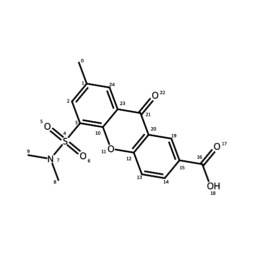 Cc1cc(S(=O)(=O)N(C)C)c2oc3ccc(C(=O)O)cc3c(=O)c2c1